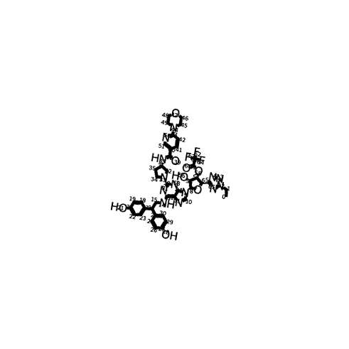 CCn1nnc([C@H]2O[C@@H](n3cnc4c(NCC(c5ccc(O)cc5)c5ccc(O)cc5)nc(N5CC[C@@H](NC(=O)c6ccc(N7CCOCC7)nc6)C5)nc43)[C@H](O)[C@@H]2OC(=O)C(F)(F)F)n1